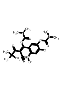 CN(C)C(=O)O/C(=C(/C#N)C(=O)C(C)(C)C)c1cc(OC(=O)N(C)C)c(Cl)cc1[N+](=O)[O-]